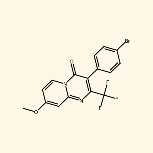 COc1ccn2c(=O)c(-c3ccc(Br)cc3)c(C(F)(F)F)nc2c1